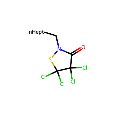 CCCCCCCCN1SC(Cl)(Cl)C(Cl)(Cl)C1=O